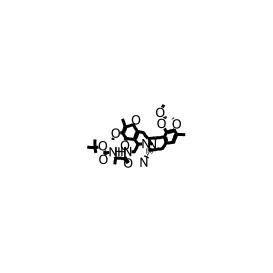 COCOc1c(OC)c(C)cc2c1C1C3CC4=C(C(=O)C(OC)=C(C)C4=O)C(CNC(=O)C(C)NC(=O)OC(C)(C)C)N3[C@@H](C#N)C(C2)N1C